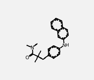 CN(C)C(=O)C(C)(C)Cc1ccc(Nc2ccc3ccccc3c2)cc1